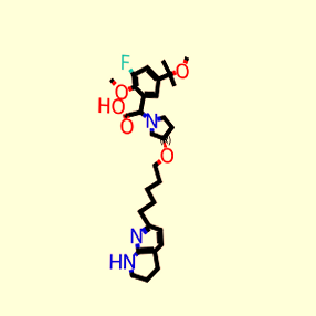 COc1c(F)cc(C(C)(C)OC)cc1C(C(=O)O)N1CC[C@@H](OCCCCCc2ccc3c(n2)NCCC3)C1